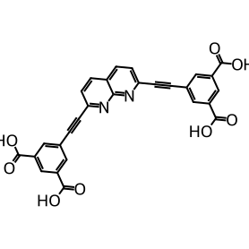 O=C(O)c1cc(C#Cc2ccc3ccc(C#Cc4cc(C(=O)O)cc(C(=O)O)c4)nc3n2)cc(C(=O)O)c1